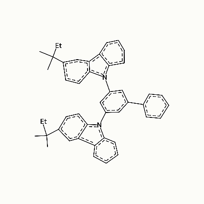 CCC(C)(C)c1ccc2c(c1)c1ccccc1n2-c1cc(-c2ccccc2)cc(-n2c3ccccc3c3cc(C(C)(C)CC)ccc32)c1